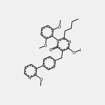 CCCCc1nc(OI)c(Cc2ccc(-c3cccnc3OC)cc2)c(=O)n1-c1c(OC)cccc1OC